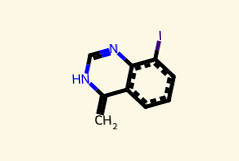 C=C1NC=Nc2c(I)cccc21